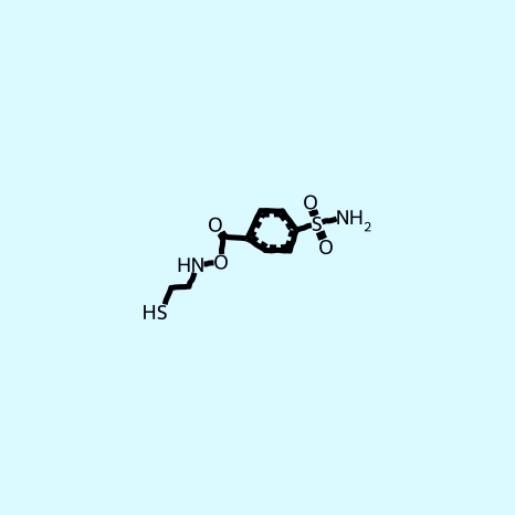 NS(=O)(=O)c1ccc(C(=O)ONCCS)cc1